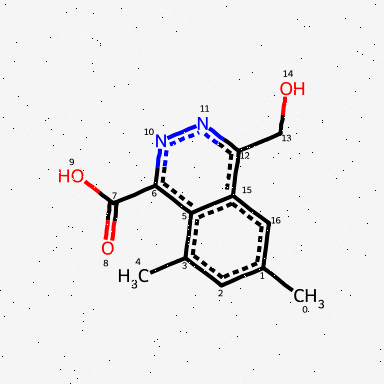 Cc1cc(C)c2c(C(=O)O)nnc(CO)c2c1